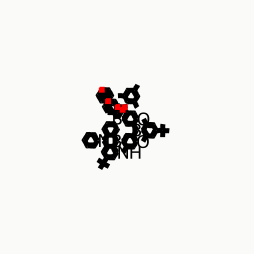 Cc1cc(C)c(N2c3cc4c(cc3B3c5ccccc5N(c5ccccc5)c5cc(C(C)(C)C)cc2c53)B2c3cc5c(cc3Oc3cc(C(C)(C)C)cc(c32)O4)Nc2cc(C(C)(C)C)cc3c2B5c2ccccc2N3c2ccccc2)c(C)c1